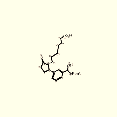 CCCCCC(O)c1cccc([C@H]2CCC(=O)[C@@H]2CCCCCCC(=O)O)c1